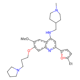 CCc1ccc(-c2cc(NCC3CCN(C)CC3)c3cc(OC)c(OCCCN4CCCC4)cc3n2)o1